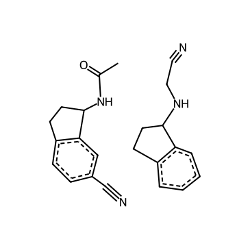 CC(=O)NC1CCc2ccc(C#N)cc21.N#CCNC1CCc2ccccc21